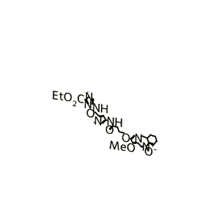 CCOC(=O)c1nc(NC(=O)c2cc(NC(=O)CCCOc3cn4c(c3OC)C=[N+]([O-])C3=CCCCC3C4)cn2C)cn1C